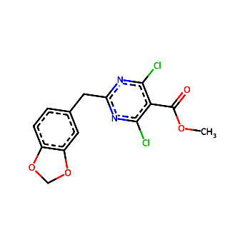 COC(=O)c1c(Cl)nc(Cc2ccc3c(c2)OCO3)nc1Cl